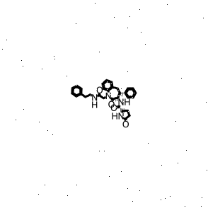 O=C(CN1C(=O)[C@@H](NC(=O)[C@@H]2CCC(=O)N2)[C@@H](c2ccccc2)Cc2ccccc21)NCCc1ccccc1